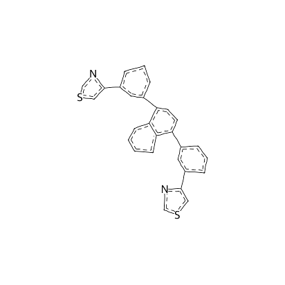 c1cc(-c2cscn2)cc(-c2ccc(-c3cccc(-c4cscn4)c3)c3ccccc23)c1